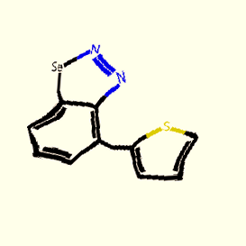 c1csc(-c2cccc3[se]nnc23)c1